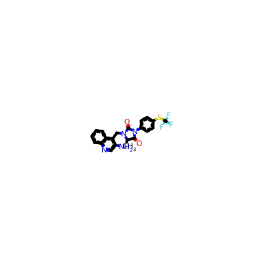 CC1C(=O)N(c2ccc(SC(F)(F)F)cc2)C(=O)N1Cc1c(N)cnc2ccccc12